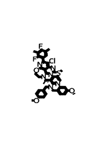 COc1ccc(CN(Cc2ccc(OC)cc2)c2ncccc2[C@@H](C)N2CCOc3nc(-c4cc(C)c(F)c(C)c4F)c(Cl)c4nc(SC)nc2c34)cc1